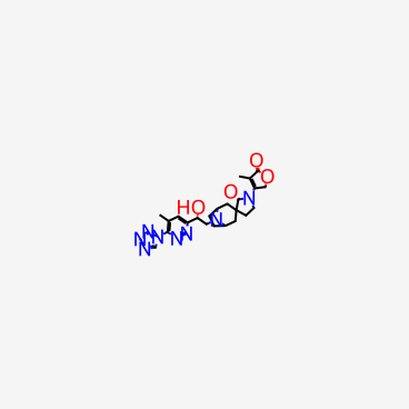 CC1=C(N2CCC3(CC4CCC(C3)N4C[C@@H](O)c3cc(C)c(-n4cnnn4)nn3)C2=O)COC1=O